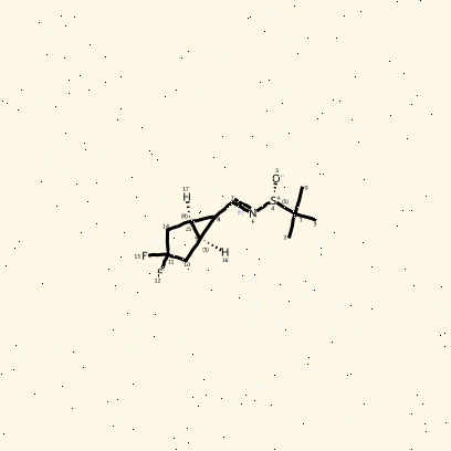 CC(C)(C)[S@@+]([O-])/N=C/C1[C@H]2CC(F)(F)C[C@@H]12